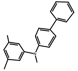 Cc1cc(C)cc(N(C)c2ccc(-c3ccccc3)cc2)c1